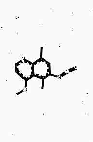 COc1ccnc2c(C)cc(N=C=S)c(C)c12